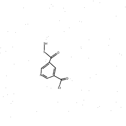 CCC(=O)c1cncc(C(=O)SS)c1